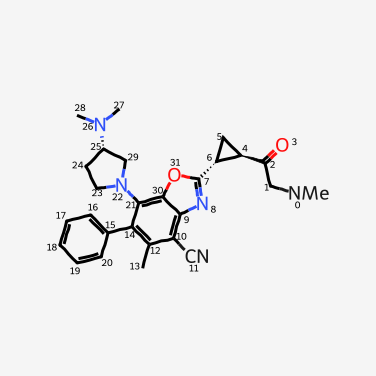 CNCC(=O)[C@@H]1C[C@H]1c1nc2c(C#N)c(C)c(-c3ccccc3)c(N3CC[C@H](N(C)C)C3)c2o1